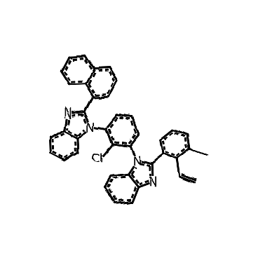 C=Cc1c(C)cccc1-c1nc2ccccc2n1-c1cccc(-n2c(-c3cccc4ccccc34)nc3ccccc32)c1Cl